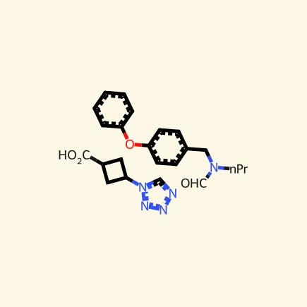 CCCN(C=O)Cc1ccc(Oc2ccccc2)cc1.O=C(O)C1CC(n2cnnn2)C1